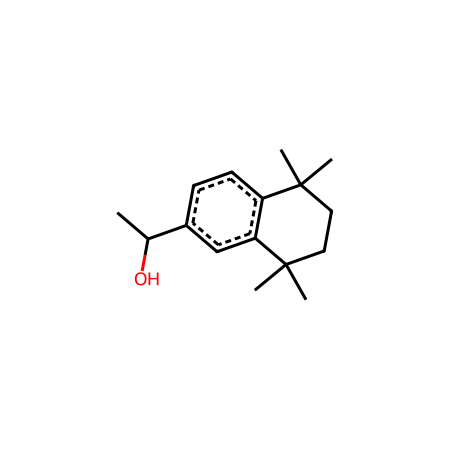 CC(O)c1ccc2c(c1)C(C)(C)CCC2(C)C